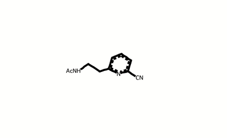 CC(=O)NCCc1cccc(C#N)n1